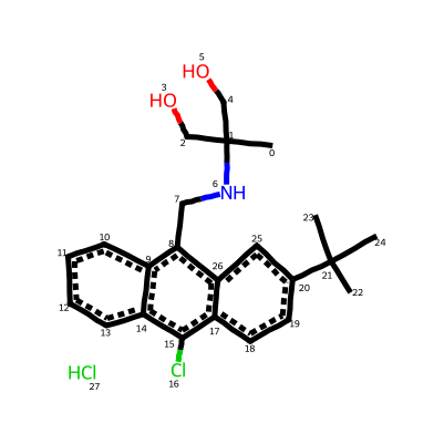 CC(CO)(CO)NCc1c2ccccc2c(Cl)c2ccc(C(C)(C)C)cc12.Cl